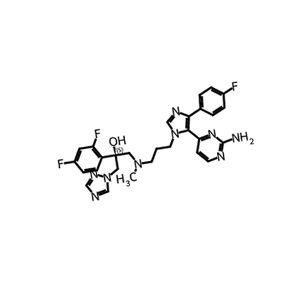 CN(CCCn1cnc(-c2ccc(F)cc2)c1-c1ccnc(N)n1)C[C@](O)(Cn1cncn1)c1ccc(F)cc1F